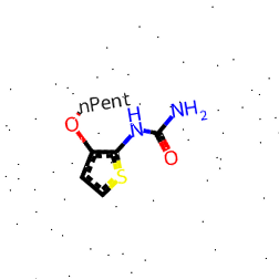 CCCCCOc1ccsc1NC(N)=O